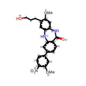 COc1cc2c(cc1CCCO)Nc1cc(-c3ccc([N+](=O)[O-])c(OC)c3)ccc1C(=O)N2